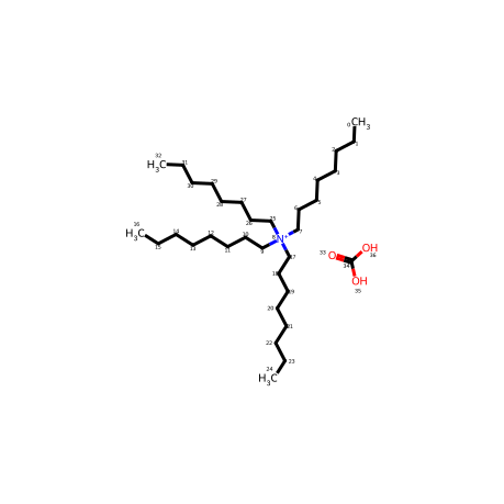 CCCCCCCC[N+](CCCCCCCC)(CCCCCCCC)CCCCCCCC.O=C(O)O